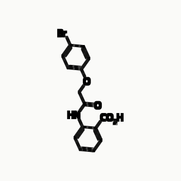 O=C(COc1ccc(Br)cc1)Nc1ccccc1C(=O)O